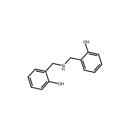 Oc1ccccc1C[SiH]Cc1ccccc1O